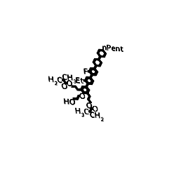 C=C(C)C(=O)OCCCc1cc(-c2ccc(-c3ccc(C4CCC(C5CCC(CCCCC)CC5)CC4)cc3F)cc2CC)cc(CCCOC(=O)C(=C)C)c1OCCCO